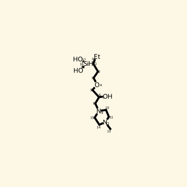 CCC(CCOCC(O)CN1CCN(C)CC1)[SiH](O)O